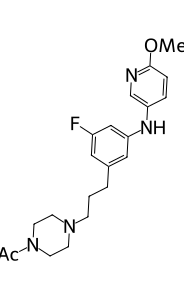 COc1ccc(Nc2cc(F)cc(CCCN3CCN(C(C)=O)CC3)c2)cn1